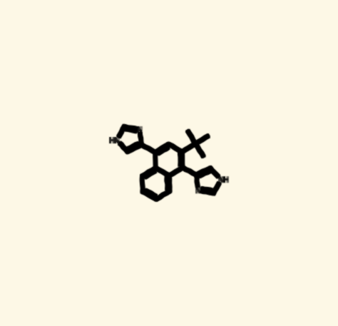 CC(C)(C)c1cc(-c2c[nH]cn2)c2ccccc2c1-c1c[nH]cn1